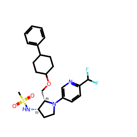 CS(=O)(=O)N[C@H]1CCN(c2ccc(C(F)F)nc2)[C@H]1COC1CCC(c2ccccc2)CC1